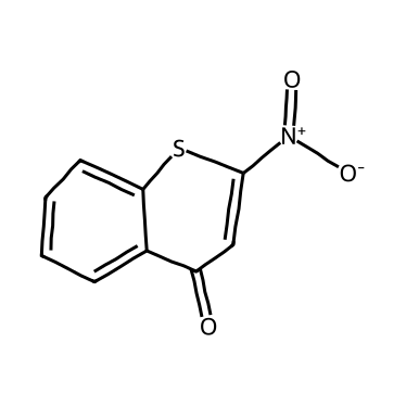 O=c1cc([N+](=O)[O-])sc2ccccc12